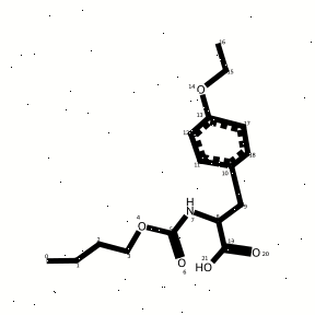 CCCCOC(=O)NC(Cc1ccc(OCC)cc1)C(=O)O